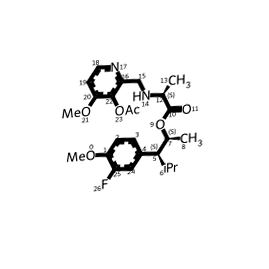 COc1ccc([C@H](C(C)C)[C@H](C)OC(=O)[C@H](C)NCc2nccc(OC)c2OC(C)=O)cc1F